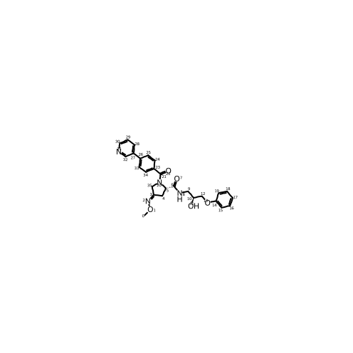 CO/N=C1\C[C@@H](C(=O)NC[C@H](O)COc2ccccc2)N(C(=O)c2ccc(-c3cccnc3)cc2)C1